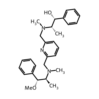 CO[C@H](c1ccccc1)[C@H](C)N(C)Cc1cccc(CN(C)[C@@H](C)[C@H](O)c2ccccc2)n1